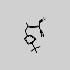 CC(=C=C(C#N)C#N)Cc1ccc(C(C)(C)C)cc1